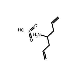 C=CCC(N)CC=C.Cl.O=S=O